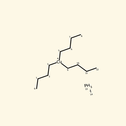 CCC[CH2][Cu]([CH2]CCC)[CH2]CCC.P.[I]